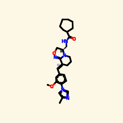 COc1cc(/C=C2\CCCN3C2=NOC[C@@H]3CNC(=O)C2CCCCCC2)ccc1-n1cnc(C)c1